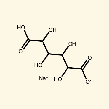 O=C([O-])C(O)C(O)C(O)C(O)C(=O)O.[Na+]